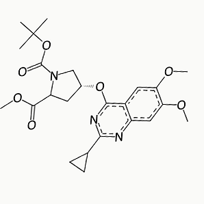 COC(=O)C1C[C@@H](Oc2nc(C3CC3)nc3cc(OC)c(OC)cc23)CN1C(=O)OC(C)(C)C